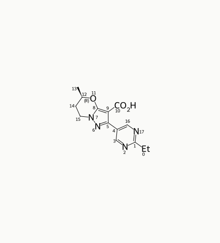 CCc1ncc(-c2nn3c(c2C(=O)O)O[C@H](C)CC3)cn1